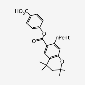 CCCCCc1cc2c(cc1C(=O)Oc1ccc(C(=O)O)cc1)C(C)(C)CC(C)(C)O2